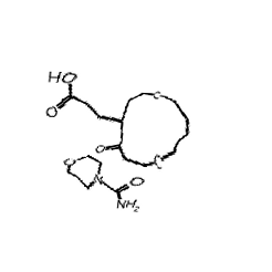 NC(=O)N1CCOCC1.O=C(O)CCC1CCCCCCCCCCC1=O